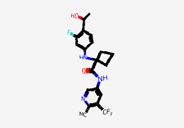 CC(O)c1ccc(NC2(C(=O)Nc3cnc(C#N)c(C(F)(F)F)c3)CCC2)cc1F